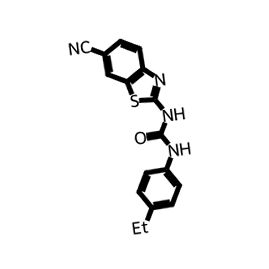 CCc1ccc(NC(=O)Nc2nc3ccc(C#N)cc3s2)cc1